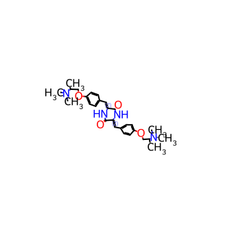 CC(COc1ccc(/C=c2\[nH]c(=O)/c(=C/c3ccc(OCC(C)N(C)C)cc3)[nH]c2=O)cc1)N(C)C